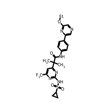 CCOc1cncc(-c2ccc(NC(=O)C(C)(C)c3cc(C(F)(F)F)nc(NS(=O)(=O)C4CC4)n3)cc2)n1